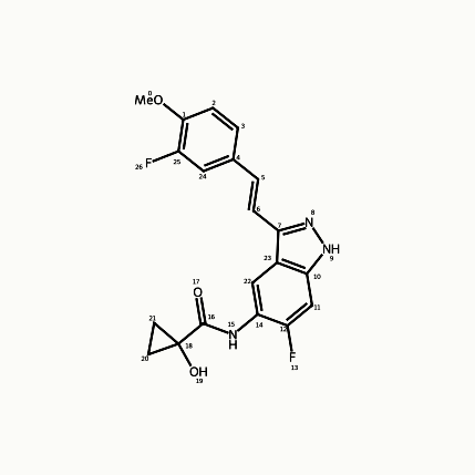 COc1ccc(/C=C/c2n[nH]c3cc(F)c(NC(=O)C4(O)CC4)cc23)cc1F